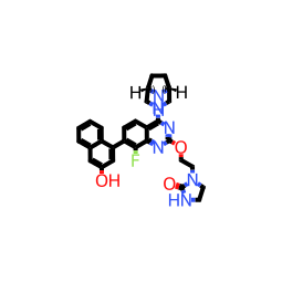 O=C1NCCN1CCOc1nc(N2C[C@H]3CC[C@@H](C2)N3)c2ccc(-c3cc(O)cc4ccccc34)c(F)c2n1